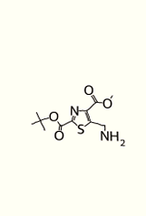 COC(=O)c1nc(C(=O)OC(C)(C)C)sc1CN